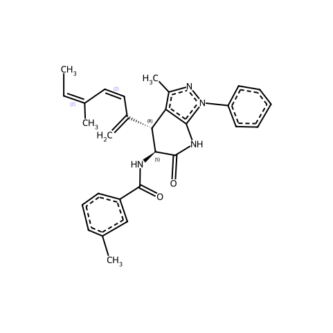 C=C(/C=C\C(C)=C/C)[C@@H]1c2c(C)nn(-c3ccccc3)c2NC(=O)[C@H]1NC(=O)c1cccc(C)c1